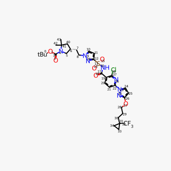 CC(C)(C)OC(=O)N1C[C@@H](CCn2ccc(S(=O)(=O)NC(=O)c3ccc(-n4ccc(OCCCC5(C(F)(F)F)CC5)n4)nc3Cl)n2)CC1(C)C